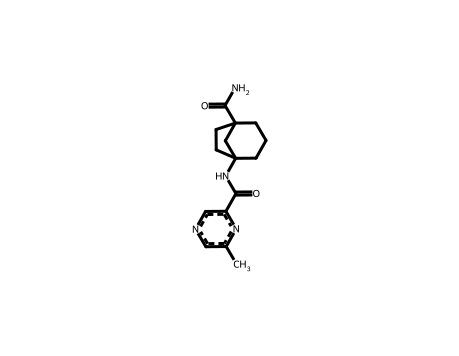 Cc1cncc(C(=O)NC23CCCC(C(N)=O)(CC2)C3)n1